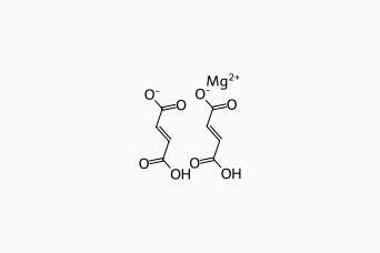 O=C([O-])C=CC(=O)O.O=C([O-])C=CC(=O)O.[Mg+2]